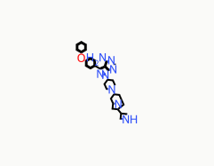 Nc1ncnc2c1c(-c1ccc(Oc3ccccc3)cc1)nn2C1CCN(C2CC3CC4(C5CNC5)CC(C2)N34)CC1